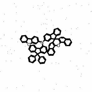 c1ccc(C2(c3ccccc3)c3ccccc3-c3c(N(c4ccc5c(c4)C4(c6ccccc6-5)c5ccc6ccccc6c5Oc5c4ccc4ccccc54)c4ccc5c(c4)oc4ccccc45)cccc32)cc1